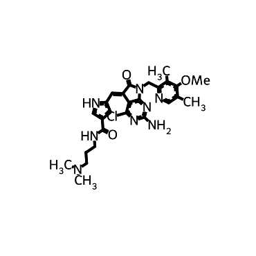 COc1c(C)cnc(CN2C(=O)/C(=C/c3cc(C(=O)NCCCN(C)C)c[nH]3)c3c(Cl)nc(N)nc32)c1C